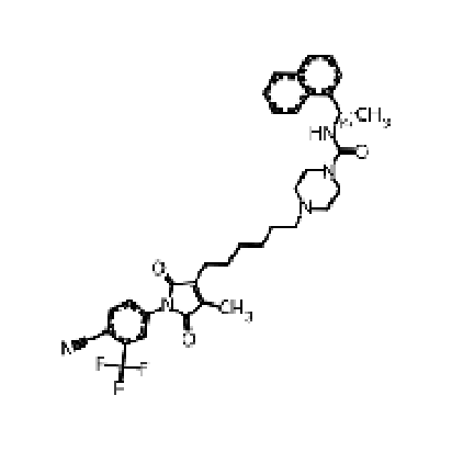 CC1=C(CCCCCCN2CCN(C(=O)N[C@@H](C)c3cccc4ccccc34)CC2)C(=O)N(c2ccc(C#N)c(C(F)(F)F)c2)C1=O